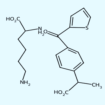 CC(C(=O)O)c1ccc(C(=O)c2cccs2)cc1.NCCCCC(N)C(=O)O